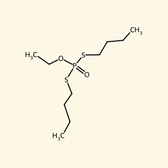 CCCCSP(=O)(OCC)SCCCC